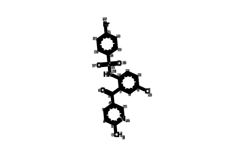 Cc1ccc(C(=O)c2cc(Cl)ccc2NS(=O)(=O)c2ccc(Br)cc2)cn1